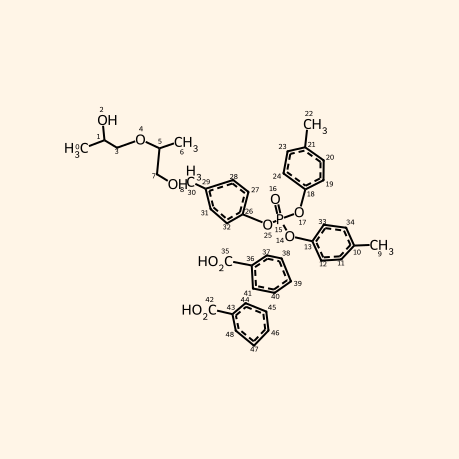 CC(O)COC(C)CO.Cc1ccc(OP(=O)(Oc2ccc(C)cc2)Oc2ccc(C)cc2)cc1.O=C(O)c1ccccc1.O=C(O)c1ccccc1